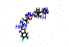 Fc1cc2c(cc1F)CC(Nc1ncc(-c3nnc(N4C[C@@H]5C(c6cnn[nH]6)[C@@H]5C4)o3)cn1)C2